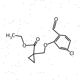 CCOC(=O)C1(COc2cc(Cl)ccc2C=O)CC1